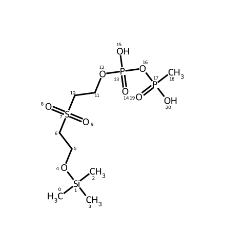 C[Si](C)(C)OCCS(=O)(=O)CCOP(=O)(O)OP(C)(=O)O